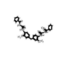 Cc1cc(Cc2ccc(NC(=S)NC(=O)c3ccccc3)c(C)c2)ccc1NC(=S)NC(=O)c1ccccc1